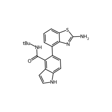 CC(C)(C)NC(=O)c1c(-c2cccc3sc(N)nc23)ccc2[nH]ccc12